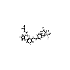 CNCCC(Oc1ccccc1CCN1CCC2(CC1)CN(C(C)C)C(=O)[C@@H](C)O2)c1cccs1